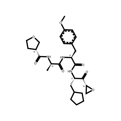 COc1ccc(C[C@H](NC(=O)[C@@H](C)NC(=O)[C@@H]2CCOC2)C(=O)N[C@@H](CC2CCCC2)C(=O)[C@H]2CO2)cc1